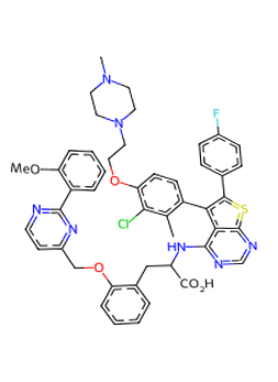 COc1ccccc1-c1nccc(COc2ccccc2CC(Nc2ncnc3sc(-c4ccc(F)cc4)c(-c4ccc(OCCN5CCN(C)CC5)c(Cl)c4C)c23)C(=O)O)n1